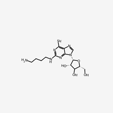 NCCCCNc1nc(S)c2ncn([C@@H]3O[C@H](CO)C(O)[C@@H]3O)c2n1